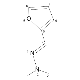 CN(C)N=Cc1ccco1